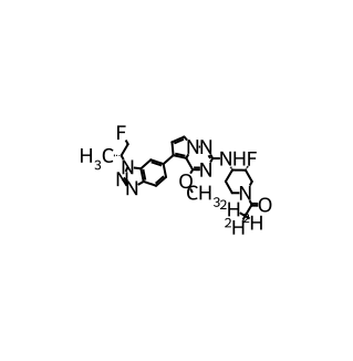 [2H]C([2H])([2H])C(=O)N1CC[C@H](Nc2nc(OC)c3c(-c4ccc5nnn([C@H](C)CF)c5c4)ccn3n2)[C@H](F)C1